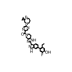 CCc1cc(O)c(F)cc1-c1ccc2c(-c3nc4c([nH]3)CCN(C(=O)c3cnc(N5CCCN(C)C6(CC6)C5)cn3)C4)n[nH]c2c1